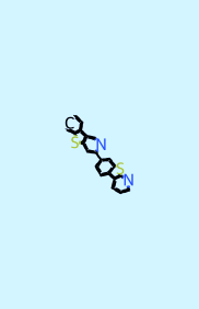 c1ccc2c(c1)sc1cc(-c3ccc4c(c3)sc3ncccc34)ncc12